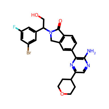 Nc1ncc(C2CCOCC2)nc1-c1ccc2c(c1)CN(C(CO)c1cc(F)cc(Br)c1)C2=O